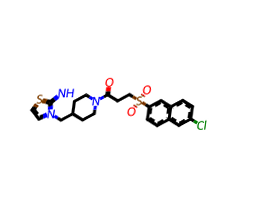 N=c1sccn1CC1CCN(C(=O)CCS(=O)(=O)c2ccc3cc(Cl)ccc3c2)CC1